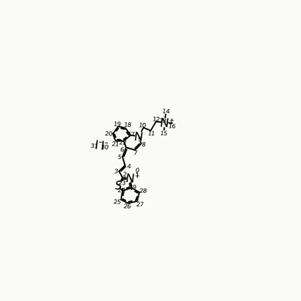 C[n+]1c(C=CC=C2C=CN(CCC[N+](C)(C)C)c3ccccc32)sc2ccccc21.[I-].[I-]